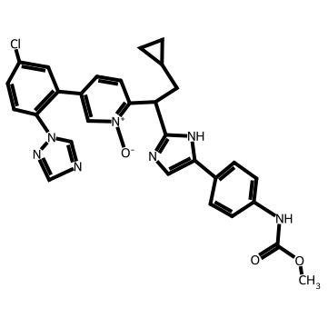 COC(=O)Nc1ccc(-c2cnc(C(CC3CC3)c3ccc(-c4cc(Cl)ccc4-n4cncn4)c[n+]3[O-])[nH]2)cc1